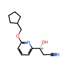 N#CC[C@@H](O)c1cccc(OCC2CCCC2)n1